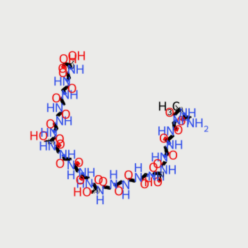 C[C@H](NC(=O)CN)C(=O)NCC(=O)NCC(=O)NCC(=O)NCC(=O)N[C@@H](CO)C(=O)NCC(=O)NCC(=O)NCC(=O)NCC(=O)N[C@@H](CO)C(=O)NCC(=O)NCC(=O)NCC(=O)NCC(=O)N[C@@H](CO)C(=O)NCC(=O)NCC(=O)NCC(=O)NCC(=O)NCC(=O)N[C@@H](CO)C(=O)O